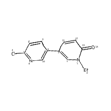 CCn1cc(-c2ccc(Cl)nc2)ccc1=O